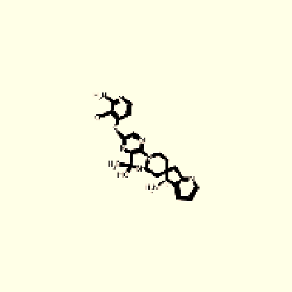 BC(B)(O)c1nc(Sc2ccnc(N)c2Cl)cnc1N1CCC2(CC1)Cc1ncccc1[C@H]2N